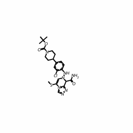 CSC1=CN(Nc2ccc(C3CCN(C(=O)OC(C)(C)C)CC3)cc2Cl)C(C(N)=O)c2nncn21